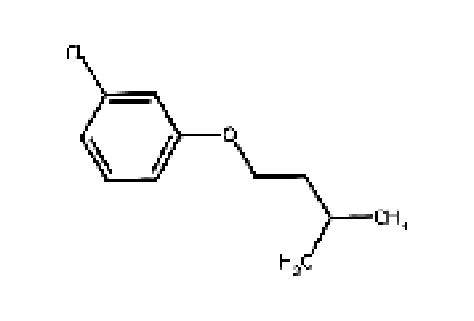 CC(C)CCOc1cccc(Cl)c1